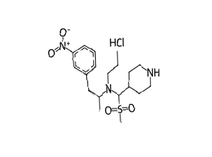 CCCN(C(C)Cc1cccc([N+](=O)[O-])c1)C(C1CCNCC1)S(C)(=O)=O.Cl